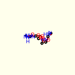 O=C(CC(Oc1ccc(NC(=O)c2ccc(Nc3ncc[nH]3)cc2)cc1)c1ccccc1)OC(=O)CC(Oc1ccccc1NC(=O)c1ccc(Nc2ccccn2)cc1)c1ccccc1